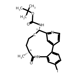 C[C@@H]1CCC[C@H](NC(=O)OC(C)(C)C)c2cc(ccn2)-c2ccc(I)cc2NC1=O